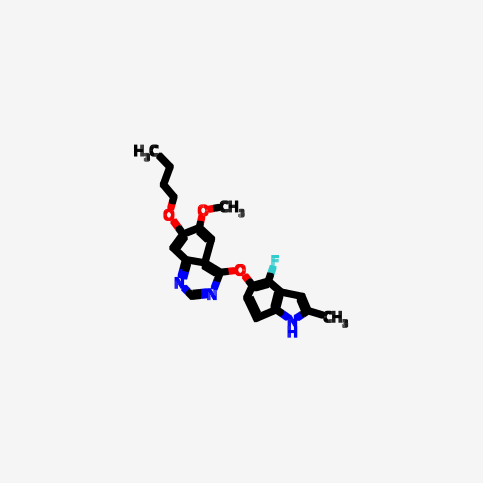 CCCCOc1cc2ncnc(Oc3ccc4[nH]c(C)cc4c3F)c2cc1OC